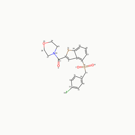 O=C(c1cc2c(S(=O)(=O)Cc3ccc(F)cc3)cccc2s1)N1CCOCC1